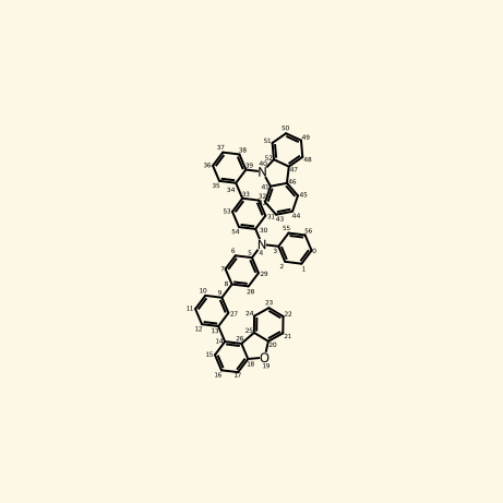 c1ccc(N(c2ccc(-c3cccc(-c4cccc5oc6ccccc6c45)c3)cc2)c2ccc(-c3ccccc3-n3c4ccccc4c4ccccc43)cc2)cc1